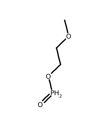 COCCO[PH2]=O